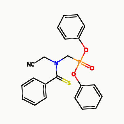 N#CCN(CP(=O)(Oc1ccccc1)Oc1ccccc1)C(=S)c1ccccc1